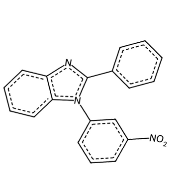 O=[N+]([O-])c1cccc(-n2c(-c3ccccc3)nc3ccccc32)c1